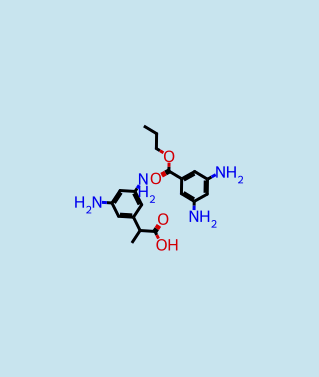 CC(C(=O)O)c1cc(N)cc(N)c1.CCCOC(=O)c1cc(N)cc(N)c1